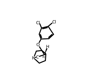 Clc1ccc(O[C@H]2CN3CCC2CC3)cc1Cl